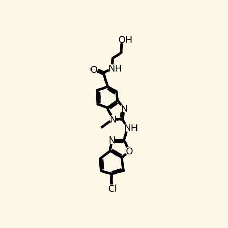 Cn1c(Nc2nc3ccc(Cl)cc3o2)nc2cc(C(=O)NCCO)ccc21